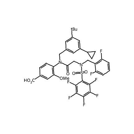 COc1cc(C(=O)O)ccc1N(Cc1cc(C2CC2)cc(C(C)(C)C)c1)C(=O)CN(Cc1c(F)cccc1F)S(=O)(=O)c1c(F)c(F)c(F)c(F)c1F